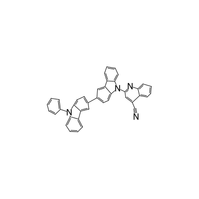 N#Cc1cc(-n2c3ccccc3c3cc(-c4ccc5c(c4)c4ccccc4n5-c4ccccc4)ccc32)nc2ccccc12